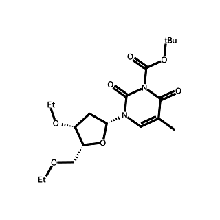 CCOC[C@H]1O[C@@H](n2cc(C)c(=O)n(C(=O)OC(C)(C)C)c2=O)C[C@H]1OCC